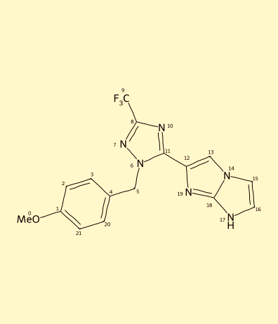 COc1ccc(Cn2nc(C(F)(F)F)nc2-c2cn3cc[nH]c3n2)cc1